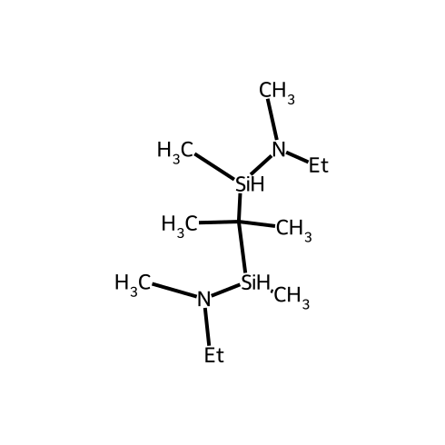 CCN(C)[SiH](C)C(C)(C)[SiH](C)N(C)CC